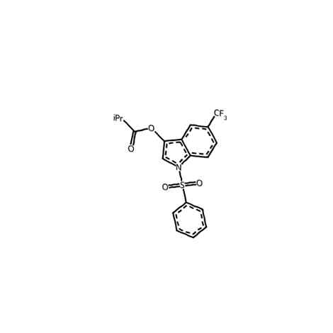 CC(C)C(=O)Oc1cn(S(=O)(=O)c2ccccc2)c2ccc(C(F)(F)F)cc12